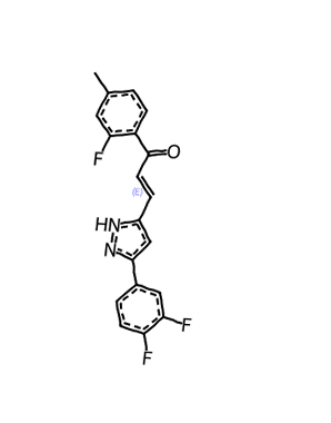 Cc1ccc(C(=O)/C=C/c2cc(-c3ccc(F)c(F)c3)n[nH]2)c(F)c1